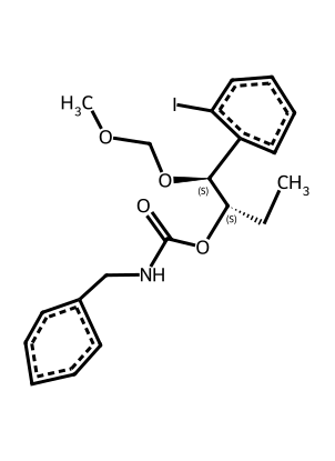 CC[C@H](OC(=O)NCc1ccccc1)[C@@H](OCOC)c1ccccc1I